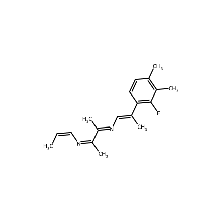 C\C=C/N=C(C)\C(C)=N\C=C(/C)c1ccc(C)c(C)c1F